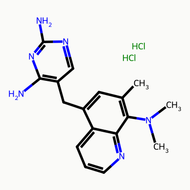 Cc1cc(Cc2cnc(N)nc2N)c2cccnc2c1N(C)C.Cl.Cl